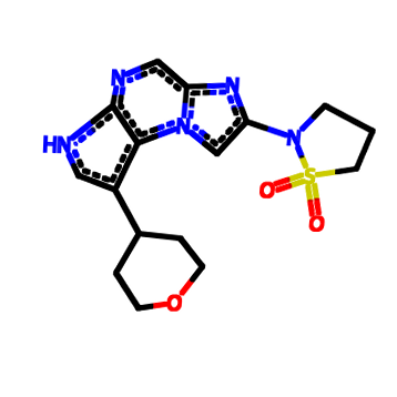 O=S1(=O)CCCN1c1cn2c(cnc3[nH]cc(C4CCOCC4)c32)n1